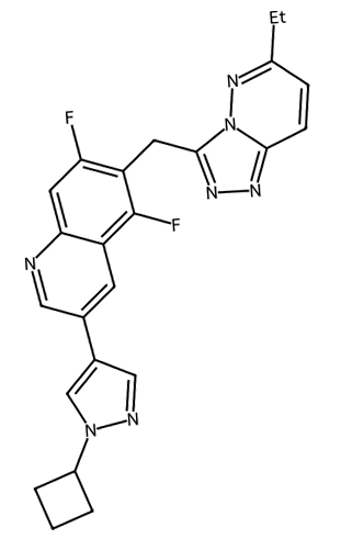 CCc1ccc2nnc(Cc3c(F)cc4ncc(-c5cnn(C6CCC6)c5)cc4c3F)n2n1